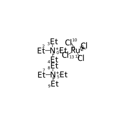 CC[N+](CC)(CC)CC.CC[N+](CC)(CC)CC.[Cl][Ru-2]([Cl])([Cl])[Cl]